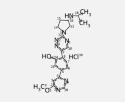 COc1cc(-c2ccc(-c3cnc(N4CC[C@H](NC(C)C)C4)nn3)c(O)c2)ncn1.Cl